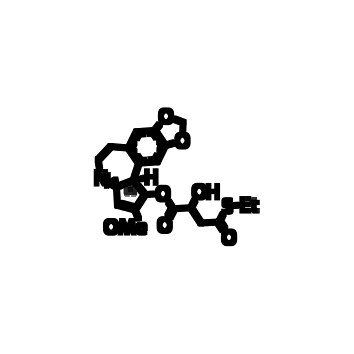 CCSC(=O)CC(O)C(=O)OC1C(OC)=CC23CCCN2CCc2cc4c(cc2[C@H]13)OCO4